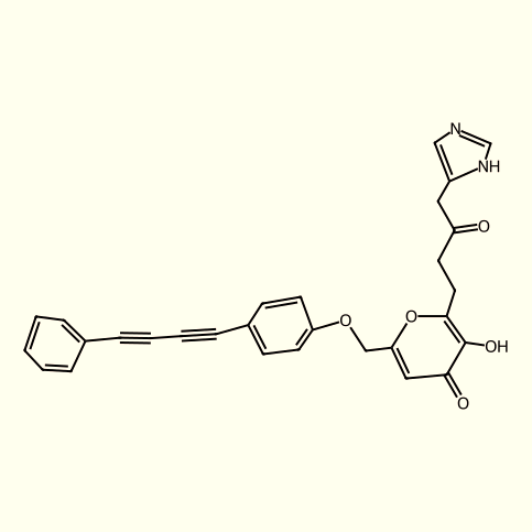 O=C(CCc1oc(COc2ccc(C#CC#Cc3ccccc3)cc2)cc(=O)c1O)Cc1cnc[nH]1